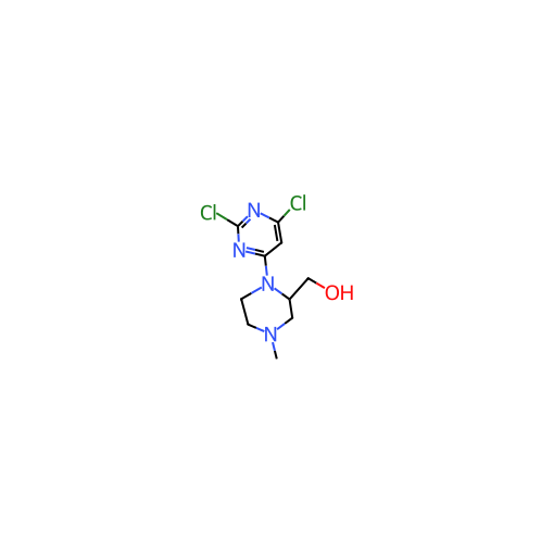 CN1CCN(c2cc(Cl)nc(Cl)n2)C(CO)C1